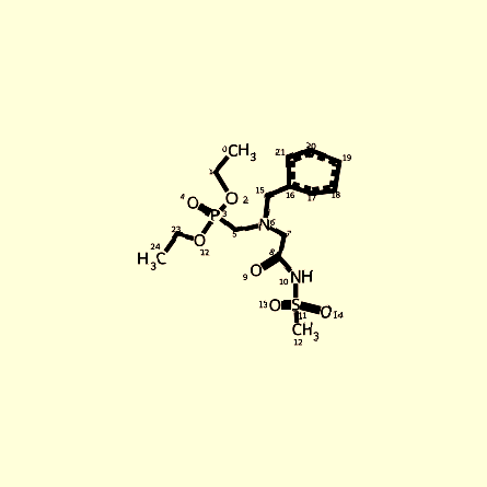 CCOP(=O)(CN(CC(=O)NS(C)(=O)=O)Cc1ccccc1)OCC